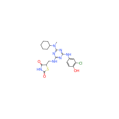 CN(c1nc(NCC2SC(=O)NC2=O)nc(Nc2ccc(O)c(Cl)c2)n1)C1CCCCC1